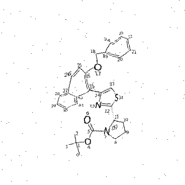 CC(C)(C)OC(=O)N1CCC[C@H]1c1nc(-c2c(OCc3ccccc3)ccc3ccccc23)cs1